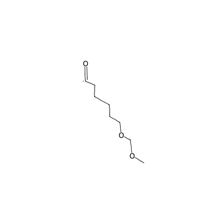 COCOCCCCC[C]=O